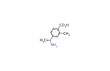 Cc1cc([C@H](C)N)ccc1C(=O)O